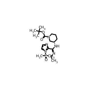 CC/N=C(/N[C@H]1CCCN(C(=O)OC(C)(C)C)C1)c1nccn1P(C)(C)=O